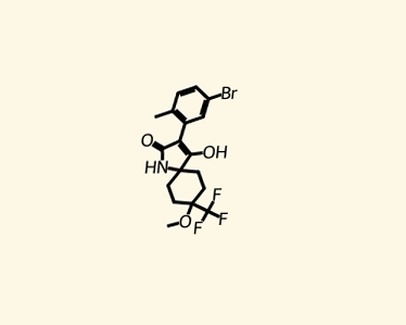 COC1(C(F)(F)F)CCC2(CC1)NC(=O)C(c1cc(Br)ccc1C)=C2O